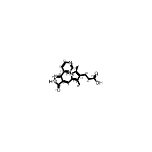 Cc1[nH]c(/C=C2/C(=O)NN=C2c2ccncn2)c(C)c1CCC(=O)O